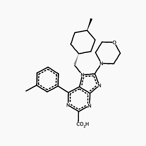 Cc1cccc(-c2nc(C(=O)O)nc3nc(N4CCOCC4)n(C[C@H]4CC[C@H](C)CC4)c23)c1